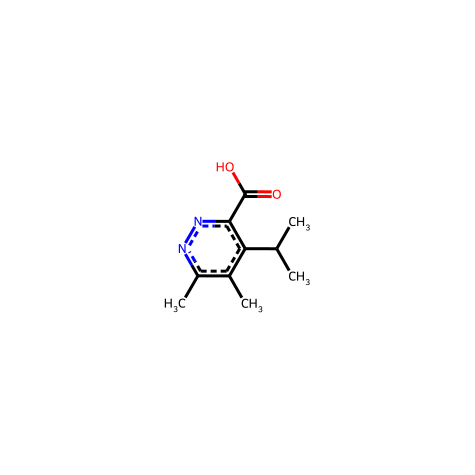 Cc1nnc(C(=O)O)c(C(C)C)c1C